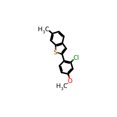 COc1ccc(-c2cc3ccc(C)cc3s2)c(Cl)c1